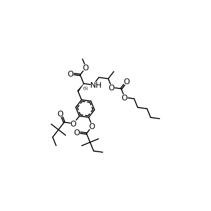 CCCCCOC(=O)OC(C)CN[C@@H](Cc1ccc(OC(=O)C(C)(C)CC)c(OC(=O)C(C)(C)CC)c1)C(=O)OC